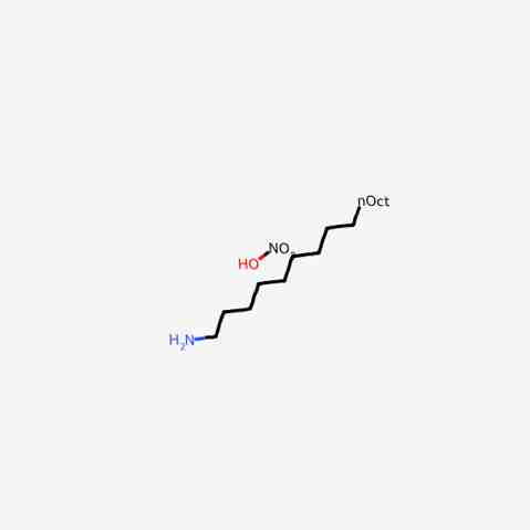 CCCCCCCCCCCCCCCCCN.O=[N+]([O-])O